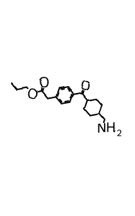 CCCOC(=O)Cc1ccc(C(=O)C2CCC(CN)CC2)cc1